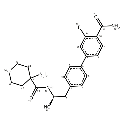 N#C[C@H](Cc1ccc(-c2ccc(C(N)=O)c(F)c2)cc1)NC(=O)C1(N)CCOCC1